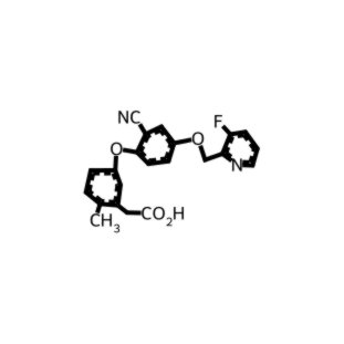 Cc1ccc(Oc2ccc(OCc3ncccc3F)cc2C#N)cc1CC(=O)O